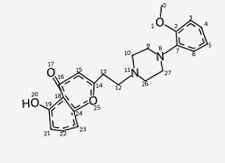 COc1ccccc1N1CCN(CCc2cc(=O)c3c(O)cccc3o2)CC1